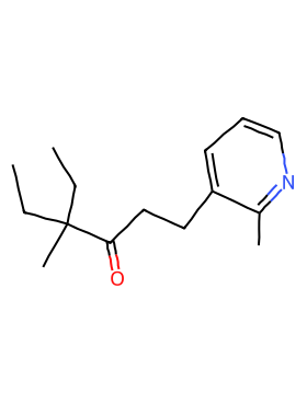 CCC(C)(CC)C(=O)CCc1cccnc1C